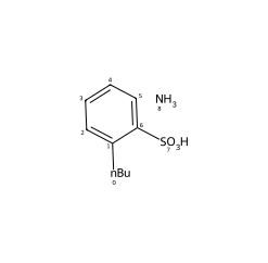 CCCCc1ccccc1S(=O)(=O)O.N